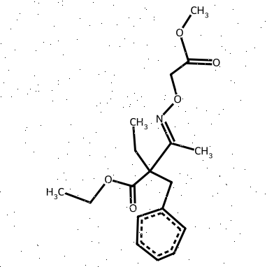 CCOC(=O)C(CC)(Cc1ccccc1)/C(C)=N/OCC(=O)OC